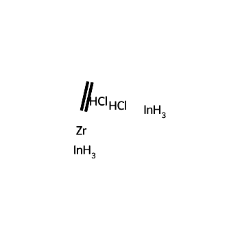 C=C.Cl.Cl.[InH3].[InH3].[Zr]